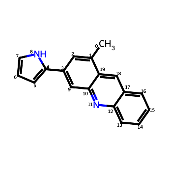 Cc1cc(-c2ccc[nH]2)cc2nc3ccccc3cc12